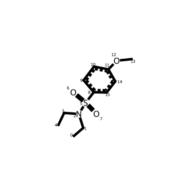 CCN(CC)S(=O)(=O)c1c[c]c(OC)cc1